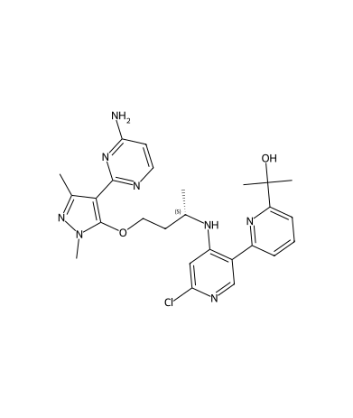 Cc1nn(C)c(OCC[C@H](C)Nc2cc(Cl)ncc2-c2cccc(C(C)(C)O)n2)c1-c1nccc(N)n1